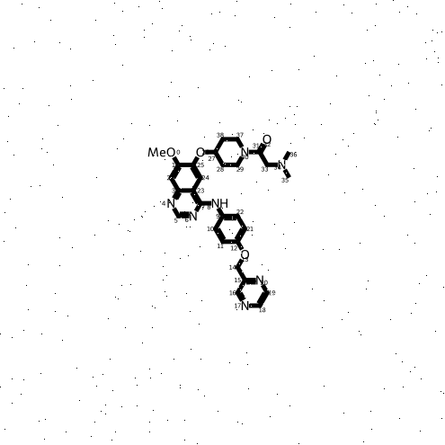 COc1cc2ncnc(Nc3ccc(OCc4cnccn4)cc3)c2cc1OC1CCN(C(=O)CN(C)C)CC1